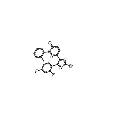 Cc1ccccc1-n1nc(-c2oc(Br)nc2-c2ccc(F)cc2F)ccc1=O